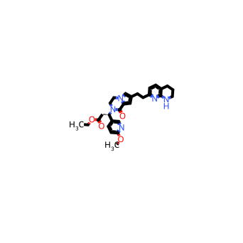 CCOC(=O)C[C@@H](c1ccc(OC)nc1)N1CCn2cc(CCc3ccc4c(n3)NCCC4)cc2C1=O